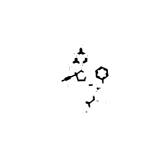 CC#CC1(O)[C@@H](O)[C@@H](COP(=O)(Oc2ccccc2)O[C@@H](C)C(=O)OC(C)C)O[C@H]1n1cnc(=O)[nH]c1=O